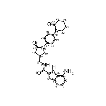 Nc1cccc2cc(C(=O)NCC3CC(=O)N(c4ccc(N5CCCCC5=O)cc4)C3)[nH]c12